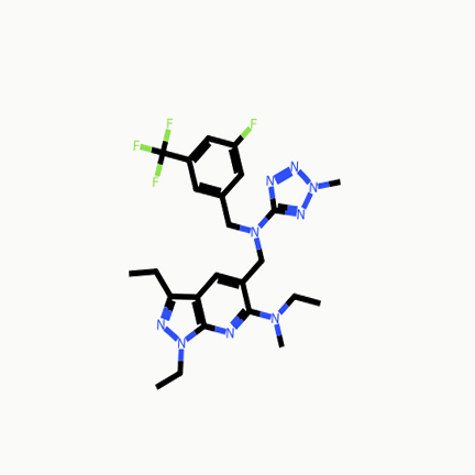 CCc1nn(CC)c2nc(N(C)CC)c(CN(Cc3cc(F)cc(C(F)(F)F)c3)c3nnn(C)n3)cc12